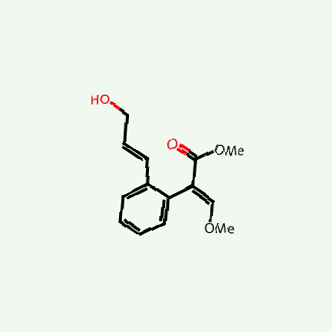 CO/C=C(/C(=O)OC)c1ccccc1C=CCO